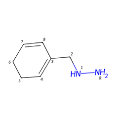 NNCC1=CCCC=C1